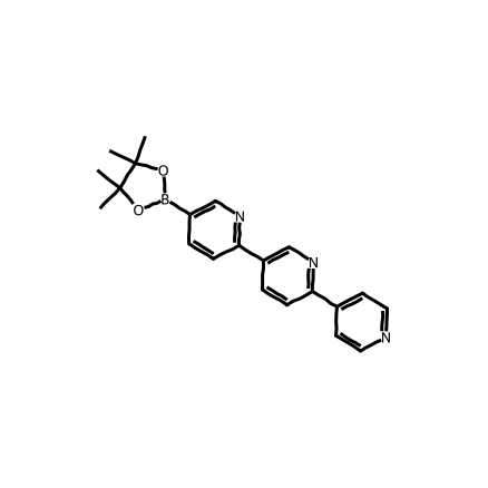 CC1(C)OB(c2ccc(-c3ccc(-c4ccncc4)nc3)nc2)OC1(C)C